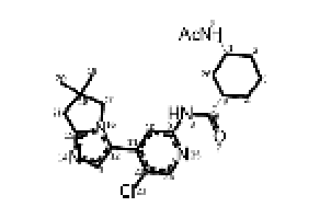 CC(=O)N[C@@H]1CCC[C@H](C(=O)Nc2cc(-c3cnc4n3CC(C)(C)C4)c(Cl)cn2)C1